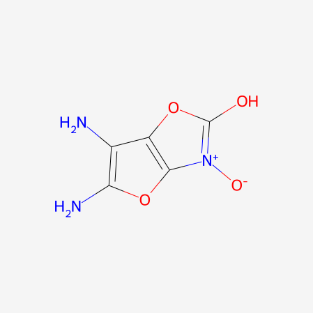 Nc1oc2c(oc(O)[n+]2[O-])c1N